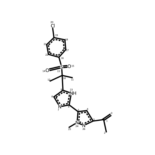 C=C(C)c1cc(-c2ncc(C(C)(C)S(=O)(=O)c3ccc(Cl)cc3)[nH]2)n(C)n1